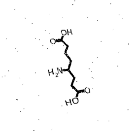 NC(CCCC(=O)O)CCC(=O)O